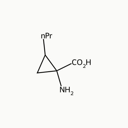 CCCC1CC1(N)C(=O)O